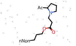 CCCCCCCCCCCCOC(=O)CCN1CCCC1C(C)=O